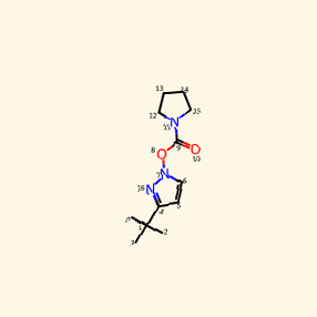 CC(C)(C)c1ccn(OC(=O)N2CCCC2)n1